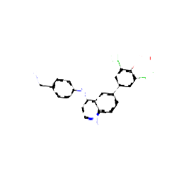 NCc1ccc(Nc2ccnc3ccc(-c4cc(Cl)c(O)c(Cl)c4)cc23)cc1